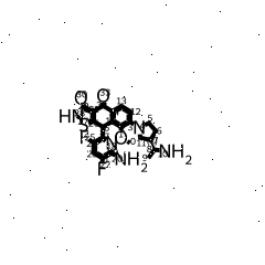 COc1c(N2CC[C@@H](C(C)N)C2)ccc2c1C(c1nc(N)c(F)cc1F)c1s[nH]c(=O)c1C2=O